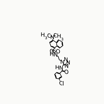 CN(C)c1ccc(S(=O)(=O)NCCn2nnnc2NC(=O)c2cccc(Cl)c2)c2ccccc12